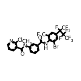 CN(C(=O)c1cccnc1Cl)c1cccc(C(=O)Nc2c(Br)cc(C(F)(C(F)(F)F)C(F)(F)C(F)(F)F)cc2C(F)(F)F)c1